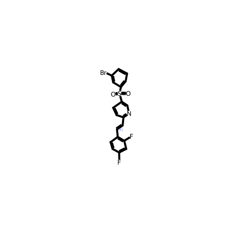 O=S(=O)(c1ccc(/C=C/c2ccc(F)cc2F)nc1)c1cccc(Br)c1